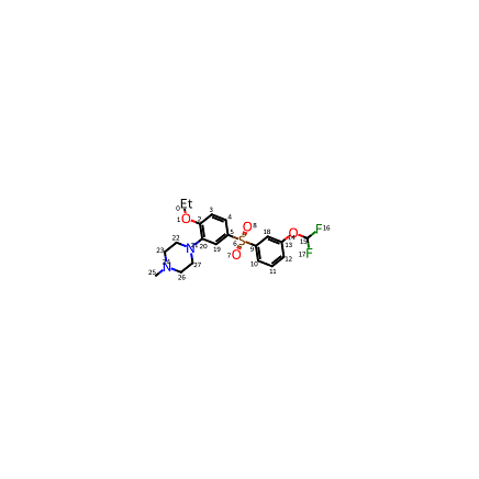 CCOc1ccc(S(=O)(=O)c2cccc(OC(F)F)c2)cc1N1CCN(C)CC1